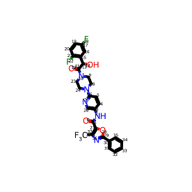 O=C(Nc1ccc(N2CCN(C(=O)C(O)c3cc(F)ccc3F)CC2)nc1)c1oc(-c2ccccc2)nc1C(F)(F)F